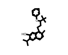 Cc1ccc2cc(C(C)C)c(O)cc2c1CCC(Oc1ccccc1)C(C)(C)C